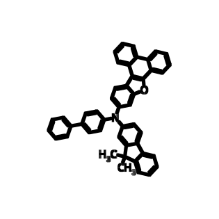 CC1(C)c2ccccc2-c2ccc(N(c3ccc(-c4ccccc4)cc3)c3ccc4c(c3)oc3c5ccccc5c5ccccc5c43)cc21